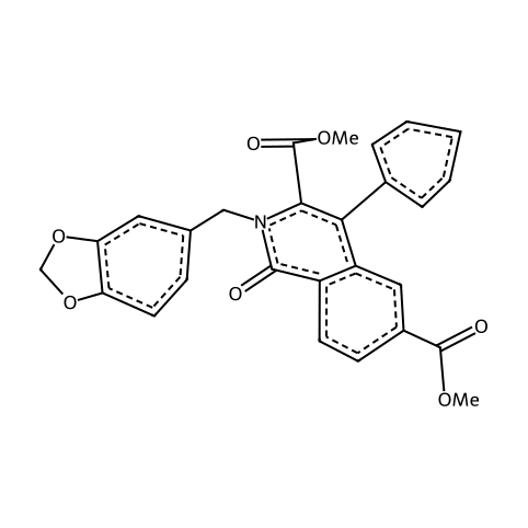 COC(=O)c1ccc2c(=O)n(Cc3ccc4c(c3)OCO4)c(C(=O)OC)c(-c3ccccc3)c2c1